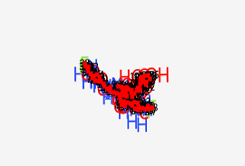 C[C@H](NC(=O)[C@H](CCCCn1cc(CNC(=O)CCC(=O)Nc2cccc3c(C(=O)NCC(=O)N4CC(F)(F)C[C@H]4C#N)ccnc23)nn1)NC(=O)C[C@H](NC(=O)CCC(=O)Nc1cccc2c(C(=O)NCC(=O)N3CC(F)(F)C[C@H]3C#N)ccnc12)C(=O)O)C(=O)N[C@@H](CCCCN)C(=O)N[C@@H](C)C(=O)N[C@@H](CSC1CC(=O)N(c2ccc3c(c2)C(=O)OC32c3ccc(O)cc3Oc3cc(O)ccc32)C1=O)C(=O)O